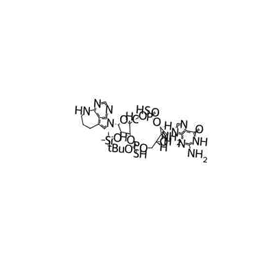 CC(C)(C)[Si](C)(C)O[C@@H]1[C@@H]2OP(=O)(S)OC[C@H]3O[C@@H](n4cnc5c(=O)[nH]c(N)nc54)[C@H](OP(=O)(S)OC[C@H]2O[C@H]1n1cc2c4c(ncnc41)NCCC2)[C@@H]3N